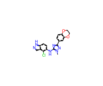 Cn1nc(-c2ccc3c(c2)OCCO3)nc1Nc1ccc2[nH]ncc2c1Cl